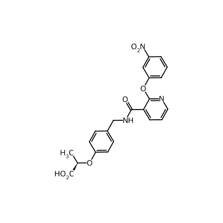 C[C@@H](Oc1ccc(CNC(=O)c2cccnc2Oc2cccc([N+](=O)[O-])c2)cc1)C(=O)O